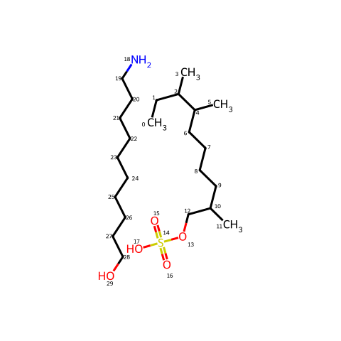 CCC(C)C(C)CCCCC(C)COS(=O)(=O)O.NCCCCCCCCCCO